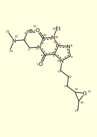 CCCCC(Cn1c(=O)c2c(ncn2CCCC2OC2C)n(CC)c1=O)N(C)C